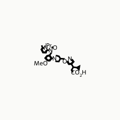 COc1ccc(CN(C(=O)C(C)C)c2cccc(C)n2)c(N2CCC(COc3cc(C(CC(=O)O)C4CC4)ccn3)CC2)c1